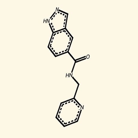 O=C(NCc1ccccn1)c1ccc2[nH]ncc2c1